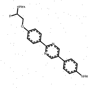 CCCCCCCc1ccc(-c2cnc(-c3ccc(OCC(F)CCCCCC)cc3)nc2)cc1